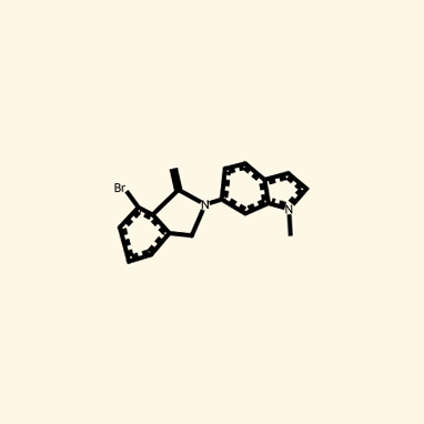 C=C1c2c(Br)cccc2CN1c1ccc2ccn(C)c2c1